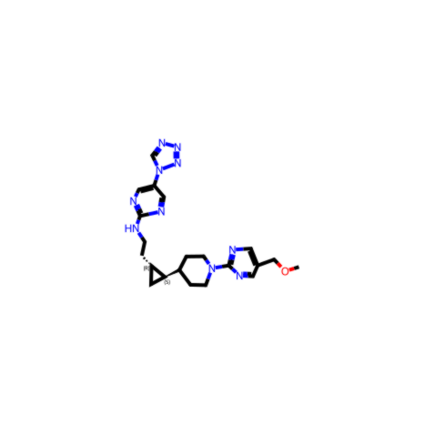 COCc1cnc(N2CCC([C@H]3C[C@@H]3CCNc3ncc(-n4cnnn4)cn3)CC2)nc1